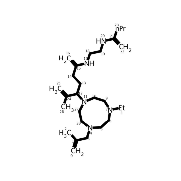 C=C(C)CN1CCN(CC)CCN(C(CCC(=C)NCCNC(=C)CCC)C(=C)C)CC1